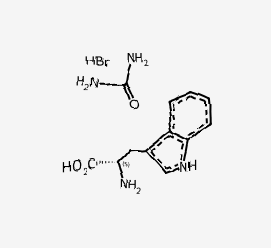 Br.NC(N)=O.N[C@@H](Cc1c[nH]c2ccccc12)C(=O)O